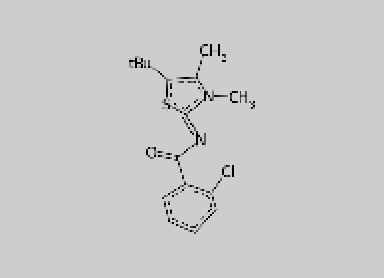 Cc1c(C(C)(C)C)s/c(=N\C(=O)c2ccccc2Cl)n1C